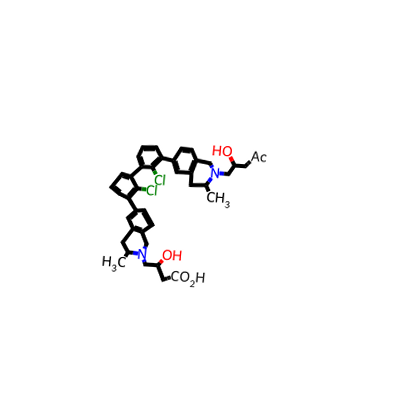 CC(=O)CC(O)CN1Cc2ccc(-c3cccc(-c4cccc(-c5ccc6c(c5)CC(C)N(CC(O)CC(=O)O)C6)c4Cl)c3Cl)cc2CC1C